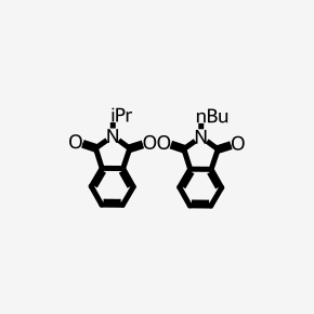 CC(C)N1C(=O)c2ccccc2C1=O.CCCCN1C(=O)c2ccccc2C1=O